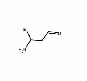 NC(Br)CC=O